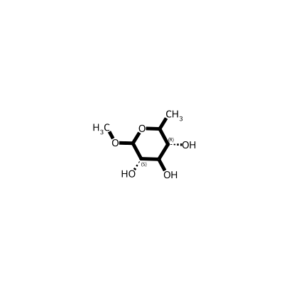 COC1OC(C)[C@H](O)C(O)[C@@H]1O